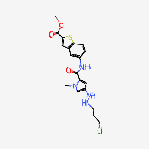 COC(=O)c1cc2cc(NC(=O)c3cc(NNCCCCl)cn3C)ccc2s1